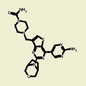 NC(=O)N1CCN(Cc2csc3c(-c4cnc(N)nc4)nc(N4C5CCC4COC5)nc23)CC1